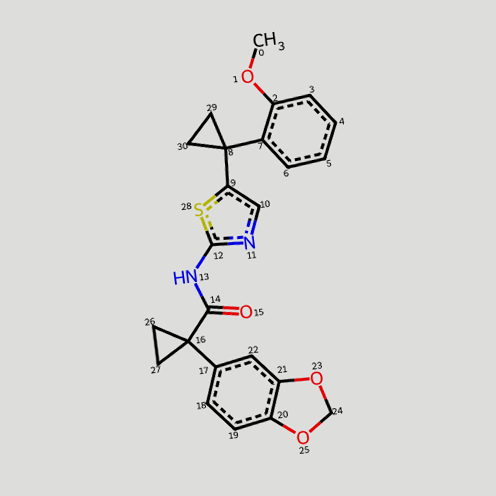 COc1ccccc1C1(c2cnc(NC(=O)C3(c4ccc5c(c4)OCO5)CC3)s2)CC1